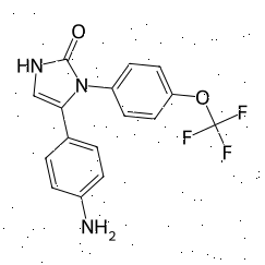 Nc1ccc(-c2c[nH]c(=O)n2-c2ccc(OC(F)(F)F)cc2)cc1